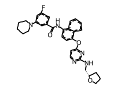 O=C(Nc1ccc(Oc2ccnc(NC[C@@H]3CCCO3)n2)c2ccccc12)c1cc(F)cc(N2CCCCC2)c1